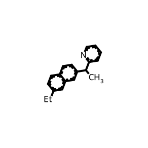 CCc1ccc2ccc(C(C)c3ccccn3)cc2c1